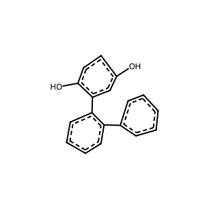 Oc1ccc(O)c(-c2ccccc2-c2ccccc2)c1